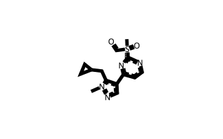 Cn1ncc(-c2ccnc([SH](C)(=O)C=O)n2)c1CC1CC1